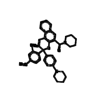 COc1ccc(C2(c3ccc(N4CCCCC4)cc3)C=Cc3c(c(C(=O)N4CCCCC4)cc4ccccc34)O2)c(OC)c1